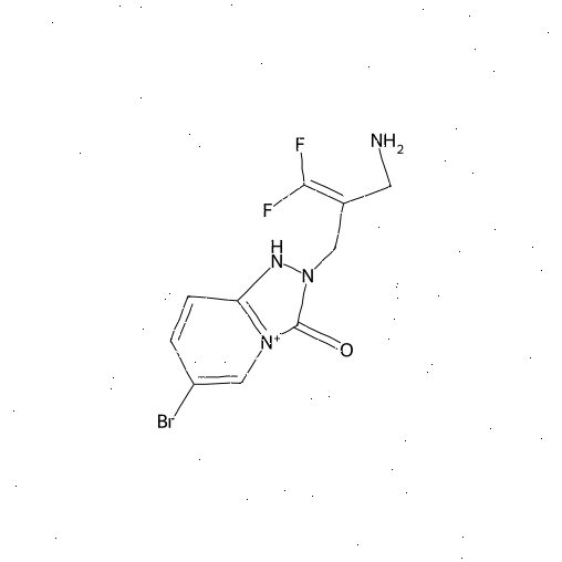 NCC(Cn1[nH]c2ccc(Br)c[n+]2c1=O)=C(F)F